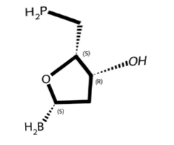 B[C@H]1C[C@@H](O)[C@@H](CP)O1